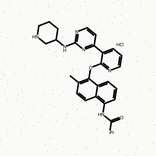 Cc1ccc2c(NC(=O)C(C)C)cccc2c1Oc1ncccc1-c1ccnc(NC2CCCNC2)n1.Cl